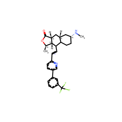 CN[C@@H]1CCC2C(/C=C/c3ccc(-c4cccc(C(F)(F)F)c4)cn3)[C@@H]3[C@@H](C)OC(=O)[C@@H]3C[C@@H]2C1